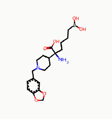 NC(CCCCB(O)O)(C(=O)O)C1CCN(Cc2ccc3c(c2)OCO3)CC1